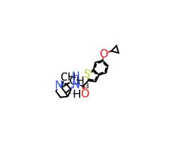 CC1(C)[C@@H](NC(=O)c2cc3ccc(OC4CC4)cc3s2)C2CCN1CC2